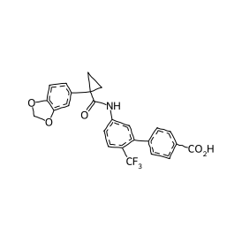 O=C(O)c1ccc(-c2cc(NC(=O)C3(c4ccc5c(c4)OCO5)CC3)ccc2C(F)(F)F)cc1